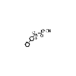 N#CC1CN1C(=O)CNC(=O)c1ccc(-c2ccccc2)cc1